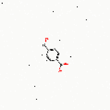 O=C(O)c1ccc(BO)cc1